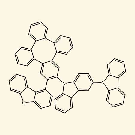 c1ccc2c(c1)-c1ccccc1-c1cc(-c3cccc4oc5ccccc5c34)c(-n3c4ccccc4c4cc(-n5c6ccccc6c6ccccc65)ccc43)cc1-c1ccccc1-2